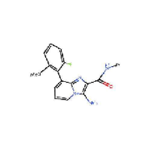 COc1cccc(F)c1-c1cccn2c(N)c(C(=O)NC(C)C)nc12